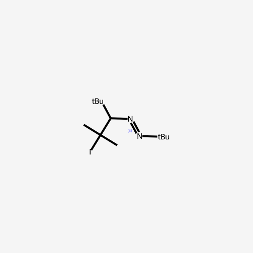 CC(C)(C)/N=N/C(C(C)(C)C)C(C)(C)I